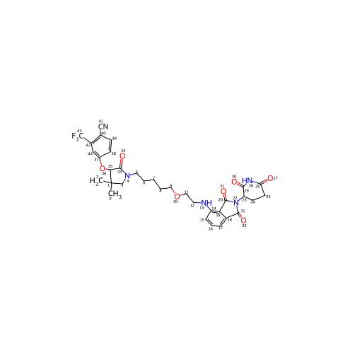 CC1(C)CN(CCCCCOCCNc2cccc3c2C(=O)N(C2CCC(=O)NC2=O)C3=O)C(=O)C1Oc1ccc(C#N)c(C(F)(F)F)c1